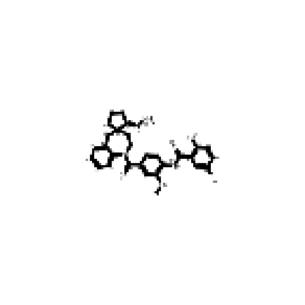 COc1cc(C(=O)N2CCC3(CCC/C3=N\N)Cc3ccccc32)ccc1NC(=O)c1cc(F)ccc1Cl